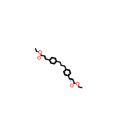 CCOC(=O)/C=C/c1ccc(CCCc2ccc(/C=C/C(=O)OCC)cc2)cc1